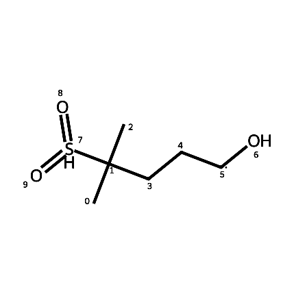 CC(C)(CC[CH]O)[SH](=O)=O